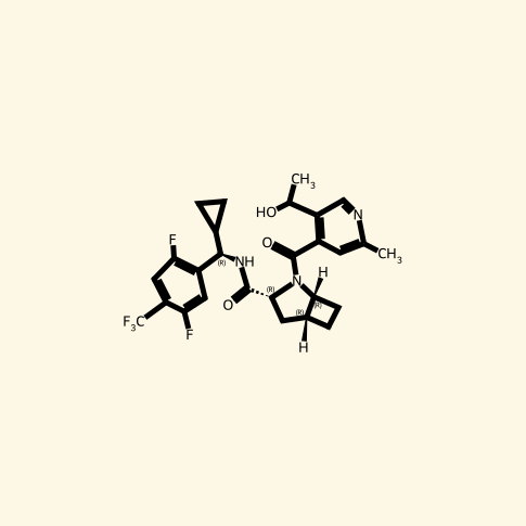 Cc1cc(C(=O)N2[C@@H](C(=O)N[C@@H](c3cc(F)c(C(F)(F)F)cc3F)C3CC3)C[C@H]3CC[C@H]32)c(C(C)O)cn1